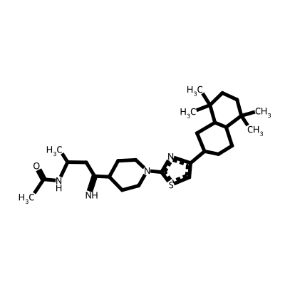 CC(=O)NC(C)CC(=N)C1CCN(c2nc(C3CCC4C(C3)C(C)(C)CCC4(C)C)cs2)CC1